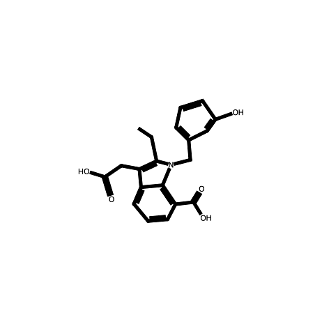 CCc1c(CC(=O)O)c2cccc(C(=O)O)c2n1Cc1cccc(O)c1